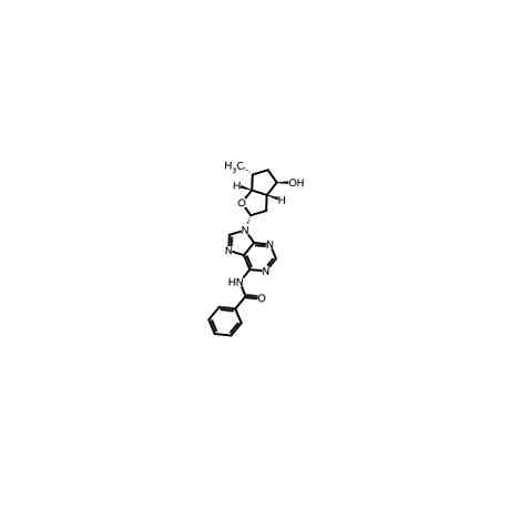 C[C@@H]1C[C@@H](O)[C@@H]2C[C@H](n3cnc4c(NC(=O)c5ccccc5)ncnc43)O[C@@H]21